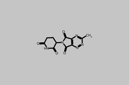 Cc1nnc2c(n1)C(=O)N(C1CCC(=O)NC1=O)C2=O